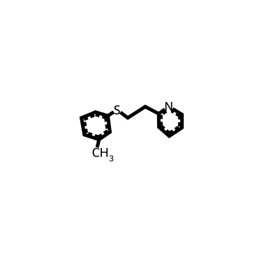 Cc1cccc(SCCc2ccccn2)c1